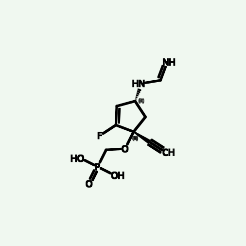 C#C[C@]1(OCP(=O)(O)O)C[C@@H](NC=N)C=C1F